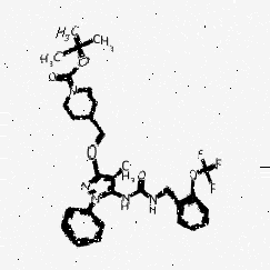 Cc1c(OCC2CCN(C(=O)OC(C)(C)C)CC2)nn(-c2ccccc2)c1NC(=O)NCc1ccccc1OC(F)(F)F